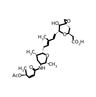 CC(=O)O[C@@H](C)/C=C\C(=O)N[C@@H]1C[C@H](C)[C@H](C/C=C(C)/C=C/[C@H]2O[C@H](CC(=O)O)C[C@@]3(CO3)[C@H]2O)O[C@@H]1C